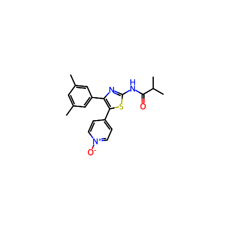 Cc1cc(C)cc(-c2nc(NC(=O)C(C)C)sc2-c2cc[n+]([O-])cc2)c1